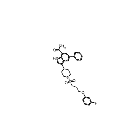 NC(=O)c1cc(-c2ccccc2)cc2c(C3CCN(S(=O)(=O)CCCOc4cccc(F)c4)CC3)c[nH]c12